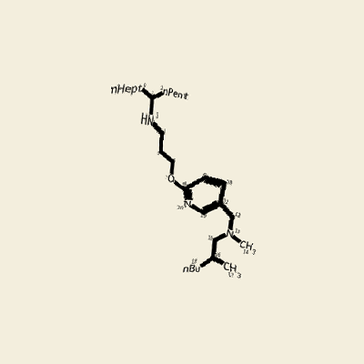 CCCCCCCC(CCCCC)NCCCOc1ccc(CN(C)CC(C)CCCC)cn1